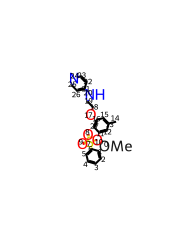 COc1ccccc1S(=O)(=O)Oc1cc(C)cc(OCCNc2ccncc2)c1